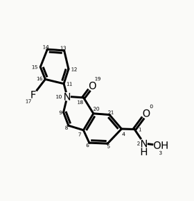 O=C(NO)c1ccc2ccn(-c3ccccc3F)c(=O)c2c1